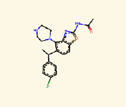 CC(=O)Nc1nc2c(N3CCNCC3)c(C(C)c3ccc(Br)cc3)ccc2s1